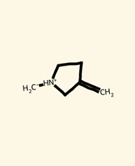 C=C1CC[NH+]([CH2-])C1